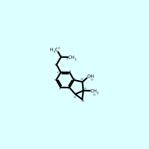 CC(C)Cc1ccc2c(c1)C(O)C1(C)CC21